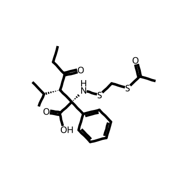 CCC(=O)[C@@H](C(C)C)[C@](NSCSC(C)=O)(C(=O)O)c1ccccc1